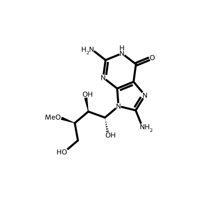 CO[C@H](CO)[C@@H](O)[C@@H](O)n1c(N)nc2c(=O)[nH]c(N)nc21